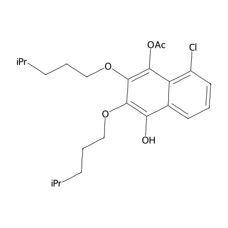 CC(=O)Oc1c(OCCCC(C)C)c(OCCCC(C)C)c(O)c2cccc(Cl)c12